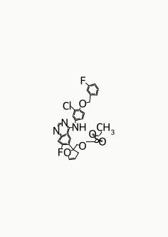 CCS(=O)(=O)CCOCC1(c2cc3c(Nc4ccc(OCc5cccc(F)c5)c(Cl)c4)ncnc3cc2F)CC=CO1